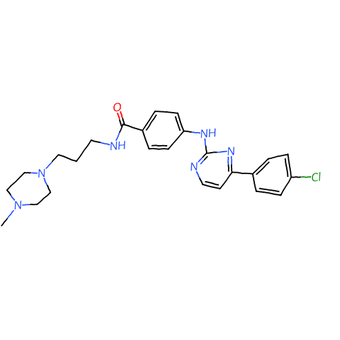 CN1CCN(CCCNC(=O)c2ccc(Nc3nccc(-c4ccc(Cl)cc4)n3)cc2)CC1